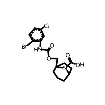 O=C(Nc1cc(Cl)ccc1Br)OCC12CCCC(CC1)N2C(=O)O